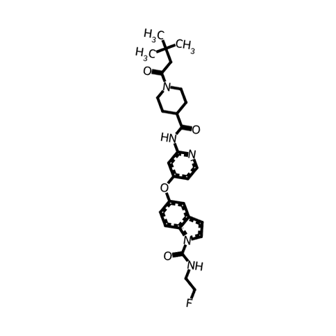 CC(C)(C)CC(=O)N1CCC(C(=O)Nc2cc(Oc3ccc4c(ccn4C(=O)NCCF)c3)ccn2)CC1